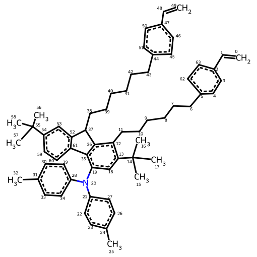 C=Cc1ccc(CCCCCCc2c(C(C)(C)C)cc(N(c3ccc(C)cc3)c3ccc(C)cc3)c3c2C(CCCCCCc2ccc(C=C)cc2)c2cc(C(C)(C)C)ccc2-3)cc1